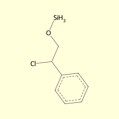 [SiH3]OCC(Cl)c1ccccc1